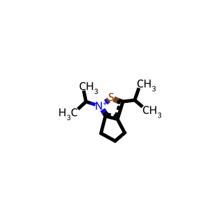 CC(C)c1s[n+](C(C)C)c2c1CCC2